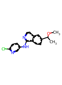 COC(C)c1ccc2c(Nc3ccc(Cl)nc3)nccc2c1